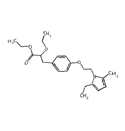 CCOC(=O)C(Cc1ccc(OCCn2c(C)ccc2CC)cc1)OCC